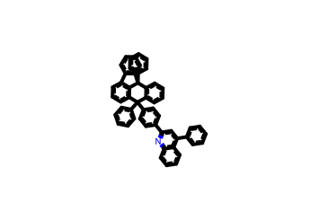 c1ccc(-c2cc(-c3ccc(C4(c5ccccc5)c5ccccc5C5(c6ccccc6)c6ccccc6-c6cccc4c65)cc3)nc3ccccc23)cc1